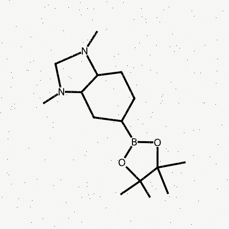 CN1CN(C)C2CC(B3OC(C)(C)C(C)(C)O3)CCC21